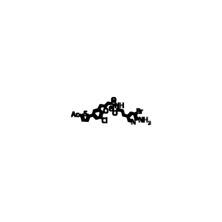 CC(=O)c1ccc(-c2cc(Cl)c3c(c2)CC(CS(=O)(=O)NC(=O)CCc2cnc(N)c(Br)c2)O3)s1